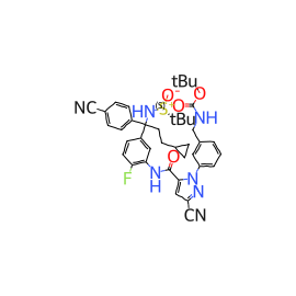 CC(C)(C)OC(=O)NCc1cccc(-n2nc(C#N)cc2C(=O)Nc2cc(C(CCC3CC3)(N[S@+]([O-])C(C)(C)C)c3ccc(C#N)cc3)ccc2F)c1